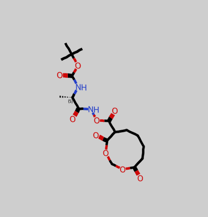 C[C@H](NC(=O)OC(C)(C)C)C(=O)NOC(=O)C1CCCCC(=O)OCOC1=O